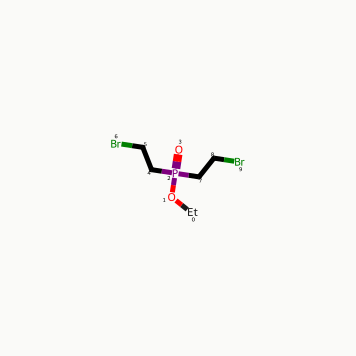 CCOP(=O)(CCBr)CCBr